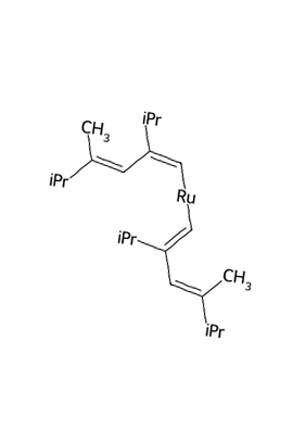 CC(=CC(=[CH][Ru][CH]=C(C=C(C)C(C)C)C(C)C)C(C)C)C(C)C